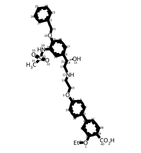 CCOc1cc(-c2ccc(OCCNC[C@@H](O)c3ccc(OCc4ccccc4)c(NS(C)(=O)=O)c3)cc2)ccc1C(=O)O